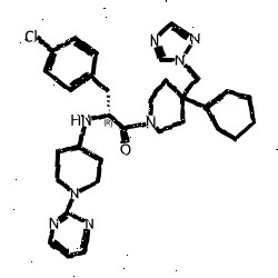 O=C([C@@H](Cc1ccc(Cl)cc1)NC1CCN(c2ncccn2)CC1)N1CCC(Cn2cncn2)(C2CCCCC2)CC1